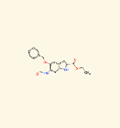 CCOC(=O)c1cc2cc(OCc3ccccc3)c(NC=O)cc2[nH]1